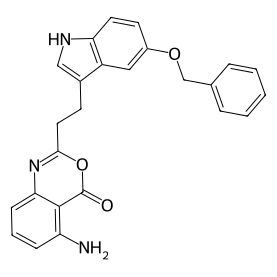 Nc1cccc2nc(CCc3c[nH]c4ccc(OCc5ccccc5)cc34)oc(=O)c12